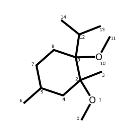 COC1(C)CC(C)CCC1(OC)C(C)C